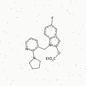 CCOC(=O)Oc1cc2cc(F)ccc2n1Cc1cccnc1N1CCCC1